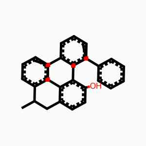 CC(Cc1ccc(O)c(CC(C)c2ccccc2)c1CC(C)c1ccccc1)c1ccccc1